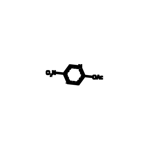 CC(=O)Oc1c[c]c([N+](=O)[O-])cn1